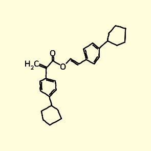 C=C(C(=O)OC=Cc1ccc(C2CCCCC2)cc1)c1ccc(C2CCCCC2)cc1